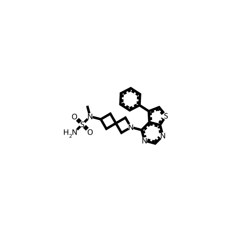 CN(C1CC2(C1)CN(c1ncnc3scc(-c4ccccc4)c13)C2)S(N)(=O)=O